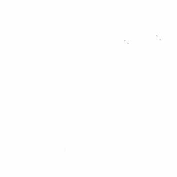 O=C(C=Cc1ccc2nccnc2c1)c1ccc(-c2ccccc2)c(F)c1